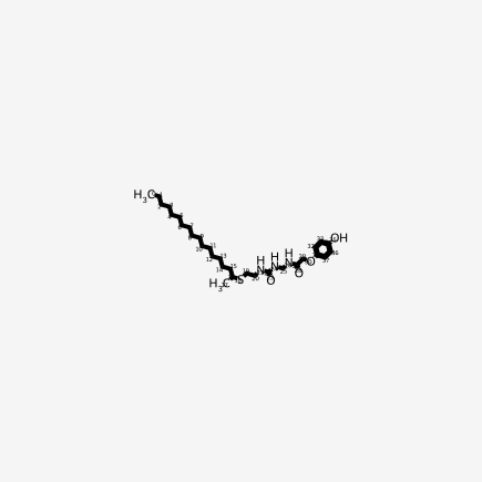 CCCCCCCCCCCCCCCCC(C)SCCNC(=O)NCNC(=O)COc1ccc(O)cc1